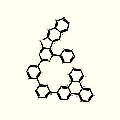 c1ccc(-c2nc(-c3cccc(-c4cccc(-c5ccc6c7ccccc7c7ccccc7c6c5)c4)c3)nc3oc4cc5ccccc5cc4c23)cc1